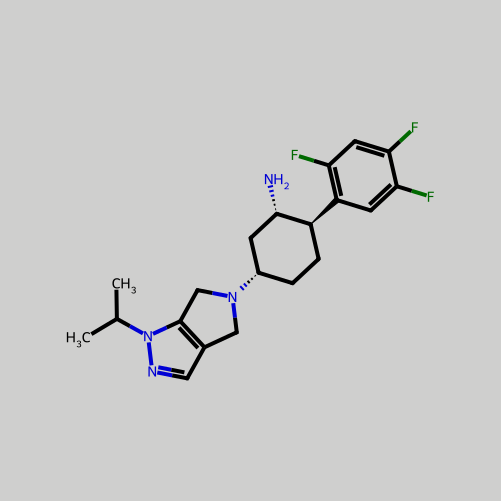 CC(C)n1ncc2c1CN([C@H]1CC[C@H](c3cc(F)c(F)cc3F)[C@@H](N)C1)C2